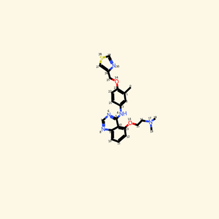 Cc1cc(Nc2ncnc3cccc(OCCN(C)C)c23)ccc1OCc1cscn1